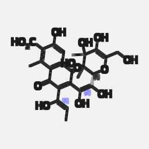 C/C=C(\O)C1=C(/C(O)=C(/O)[C@H]2OC(CO)=C(O)C(C)(O)C2(C)O)C(=O)c2cc(O)c(C(=O)O)c(C)c2C1=O